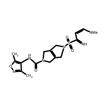 CN/C=C\C(=N)S(=O)(=O)N1CC2=C(CN(C(=O)Nc3c(C)noc3C)C2)C1